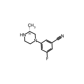 C[C@@H]1CN(c2cc(F)cc(C#N)c2)CCN1